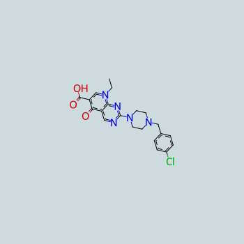 CCn1cc(C(=O)O)c(=O)c2cnc(N3CCN(Cc4ccc(Cl)cc4)CC3)nc21